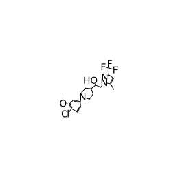 COc1cc(N2CCC(C(O)Cn3nc(C(F)(F)F)cc3C)CC2)ccc1Cl